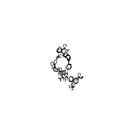 C=CC(=O)N1CCN(CC(F)(F)F)C2(CCN(C(=O)N(C)[C@H](C(=O)N[C@H]3CN4CCC=C(C4)c4ccc5c(c4)c(c(-c4cccnc4[C@H](C)OC)n5CC)CC(C)(C)COC(=O)[C@@H]4CCCN(N4)C3=O)C(C)C)CC2)C1